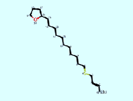 CCCCC=CCSCCCCCCCCCCCC1CCCO1